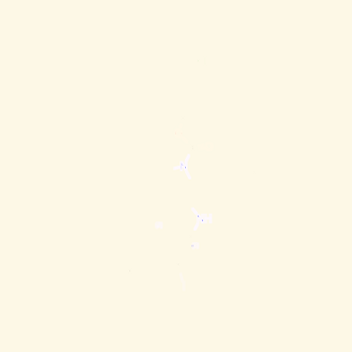 CC/C=c1/c2c([nH]/c1=C/CI)C(c1ccccc1)N(C(=O)Oc1ccc(Cl)cc1)CC2